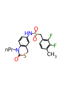 CCCN1C(=O)SCc2cc(NS(=O)(=O)Cc3ccc(C)c(F)c3F)ccc21